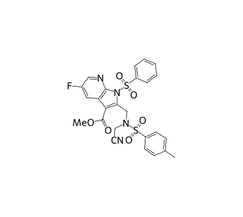 COC(=O)c1c(CN(CC#N)S(=O)(=O)c2ccc(C)cc2)n(S(=O)(=O)c2ccccc2)c2ncc(F)cc12